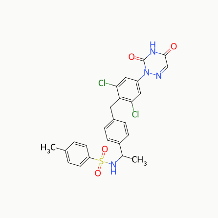 Cc1ccc(S(=O)(=O)NC(C)c2ccc(Cc3c(Cl)cc(-n4ncc(=O)[nH]c4=O)cc3Cl)cc2)cc1